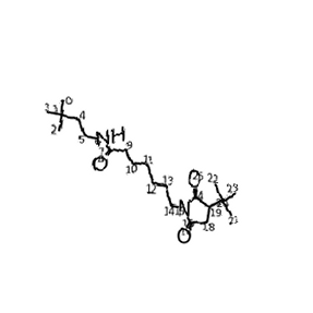 CC(C)(C)CCNC(=O)CCCCCCN1C(=O)CC(C(C)(C)C)C1=O